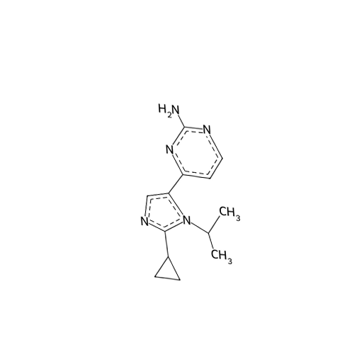 CC(C)n1c(-c2ccnc(N)n2)cnc1C1CC1